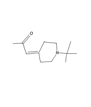 CC(=O)C=C1CCN(C(C)(C)C)CC1